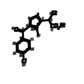 CCOC(=O)C(CC)c1ccc(C(=O)c2ccc(Cl)cc2)n1C